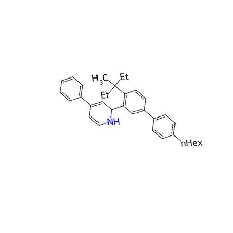 CCCCCCc1ccc(-c2ccc(C(C)(CC)CC)c(C3C=C(c4ccccc4)C=CN3)c2)cc1